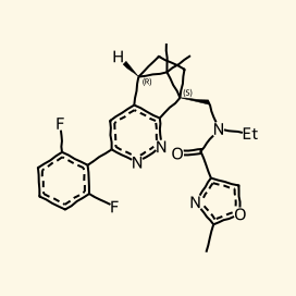 CCN(C[C@@]12CC[C@@H](c3cc(-c4c(F)cccc4F)nnc31)C2(C)C)C(=O)c1coc(C)n1